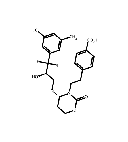 Cc1cc(C)cc(C(F)(F)[C@H](O)CC[C@H]2CCOC(=O)N2CCc2ccc(C(=O)O)cc2)c1